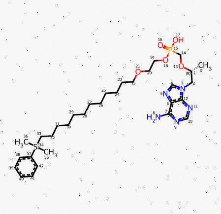 C[C@H](Cn1cnc2c(N)ncnc21)OCP(=O)(O)OCCOCCCCCCCCCCCC[Si](C)(C)c1ccccc1